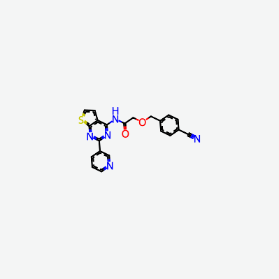 N#Cc1ccc(COCC(=O)Nc2nc(-c3cccnc3)nc3sccc23)cc1